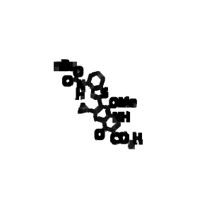 CCCCOC(=O)NC1CCCc2sc(-c3c(C4CC4)cc4c(=O)c(C(=O)O)c[nH]c4c3OC)cc21